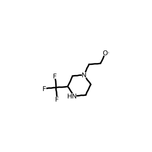 [O]CCN1CCNC(C(F)(F)F)C1